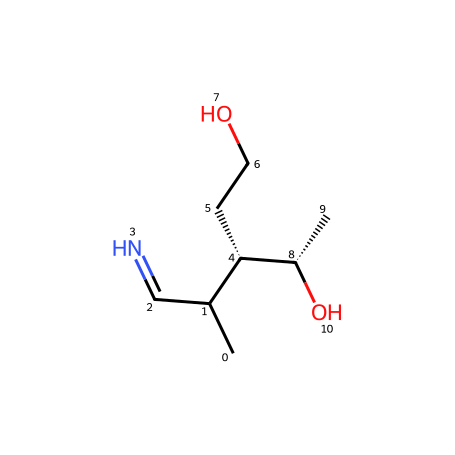 CC(C=N)[C@H](CCO)[C@H](C)O